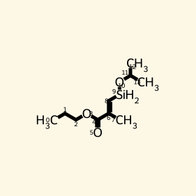 CCCOC(=O)C(C)=C[SiH2]OC(C)C